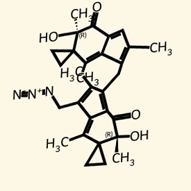 CC1=C(CC2=C3C(=O)[C@](C)(O)C4(CC4)C(C)=C3C(CN=[N+]=[N-])=C2C)C2=C(C)C3(CC3)[C@@](C)(O)C(=O)C2=C1